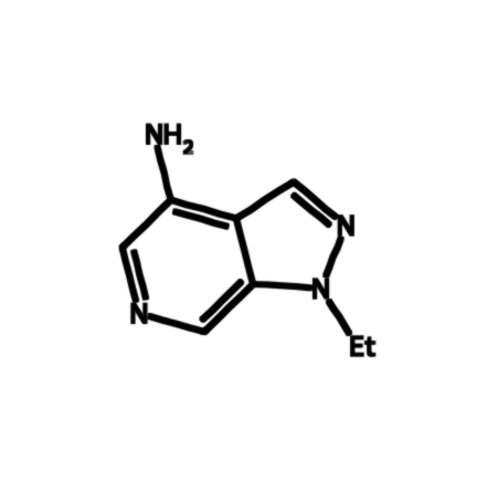 CCn1ncc2c(N)cncc21